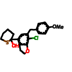 COc1ccc(Cc2cc(C3(O)CCCCS3)c3c(c2Cl)OCC3)cc1